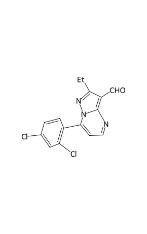 CCc1nn2c(-c3ccc(Cl)cc3Cl)ccnc2c1C=O